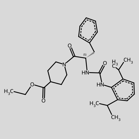 CCOC(=O)C1CCN(C(=O)[C@H](Cc2ccccc2)NC(=O)Nc2c(C(C)C)cccc2C(C)C)CC1